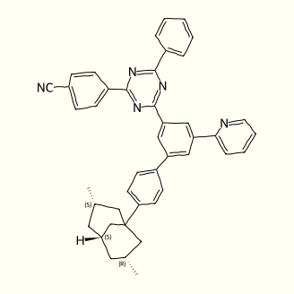 C[C@@H]1C[C@@H]2C[C@H](C)CC(c3ccc(-c4cc(-c5ccccn5)cc(-c5nc(-c6ccccc6)nc(-c6ccc(C#N)cc6)n5)c4)cc3)(C1)C2